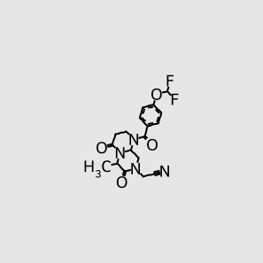 CC1C(=O)N(CC#N)CC2N(C(=O)c3ccc(OC(F)F)cc3)CCC(=O)N12